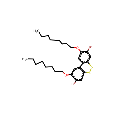 CCCCCCCCOc1cc2c(cc1Br)SSc1cc(Br)c(OCCCCCCCC)cc1-2